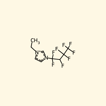 CC[n+]1ccn(C(F)(F)C(F)C(F)(F)C(F)(F)F)c1